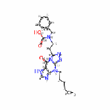 CCCCCn1c2nc[nH]c2c(=O)n2c(CCN(Cc3ccccc3)C(=O)O)nnc12